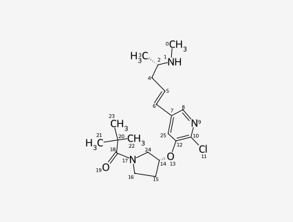 CN[C@@H](C)CC=Cc1cnc(Cl)c(O[C@@H]2CCN(C(=O)C(C)(C)C)C2)c1